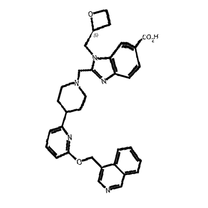 O=C(O)c1ccc2nc(CN3CCC(c4cccc(OCc5cncc6ccccc56)n4)CC3)n(C[C@@H]3CCO3)c2c1